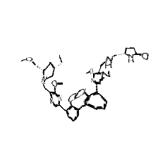 CC[C@H]1C[C@@H](COC)N(Cc2ncc(-c3cccc(-c4cccc(-c5cnc(CNC[C@@H]6CCC(=O)N6)c(OC)n5)c4Cl)c3Cl)nc2OC)C1